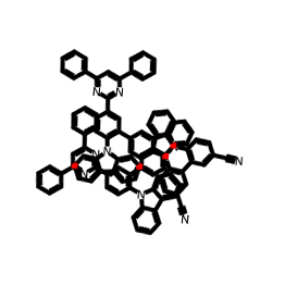 N#Cc1ccc(-n2c3ccccc3c3cc(-c4cc(-c5nc(-c6ccccc6)cc(-c6ccccc6)n5)ccc4-n4c5ccccc5c5ccccc54)ccc32)c(-c2cc(C#N)ccc2-n2c3ccccc3c3cc(-c4cc(-c5nc(-c6ccccc6)cc(-c6ccccc6)n5)ccc4-n4c5ccccc5c5ccccc54)ccc32)c1